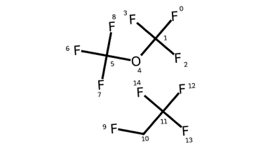 FC(F)(F)OC(F)(F)F.FCC(F)(F)F